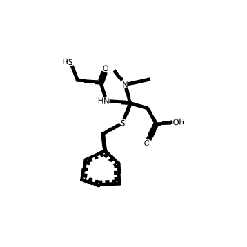 CN(C)C(CC(=O)O)(NC(=O)CS)SCc1ccccc1